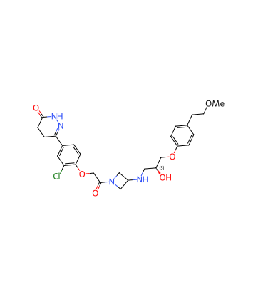 COCCc1ccc(OC[C@@H](O)CNC2CN(C(=O)COc3ccc(C4=NNC(=O)CC4)cc3Cl)C2)cc1